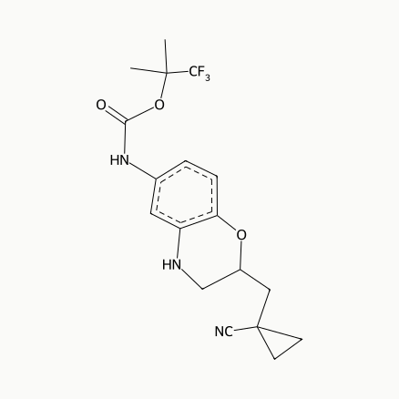 CC(C)(OC(=O)Nc1ccc2c(c1)NCC(CC1(C#N)CC1)O2)C(F)(F)F